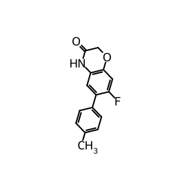 Cc1ccc(-c2cc3c(cc2F)OCC(=O)N3)cc1